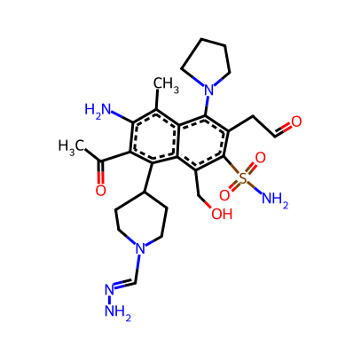 CC(=O)c1c(N)c(C)c2c(N3CCCC3)c(CC=O)c(S(N)(=O)=O)c(CO)c2c1C1CCN(C=NN)CC1